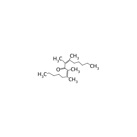 CCCCCC(C)=C(C)C(=O)C(C)=C(C)CCCCC